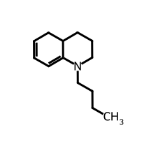 CCCCN1CCCC2CC=CC=C21